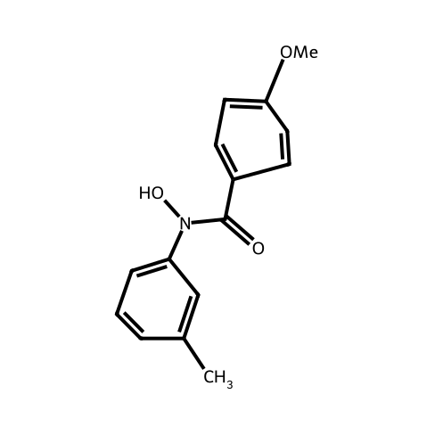 COc1ccc(C(=O)N(O)c2cccc(C)c2)cc1